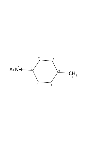 CC(=O)NC1CCC(C)CC1